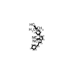 C#CC(C)(C)N1CCC(N2CCN(CCCN3CCCCC3)C2=C(C#N)C#N)CC1